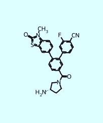 Cn1c(=O)sc2cc(-c3ccc(C(=O)N4CC[C@H](N)C4)cc3-c3ccc(C#N)c(F)c3)ccc21